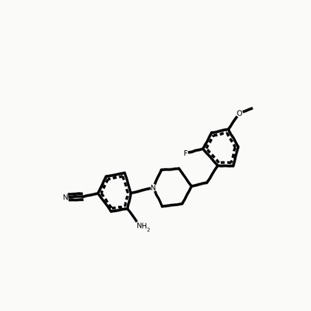 COc1ccc(CC2CCN(c3ccc(C#N)cc3N)CC2)c(F)c1